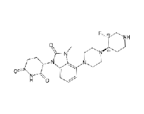 Cn1c(=O)n(C2CCC(=O)NC2=O)c2cccc(N3CCN([C@@H]4CCNC[C@H]4F)CC3)c21